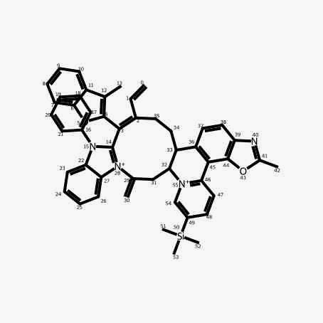 C=C/C1=C(\c2oc3ccccc3c2C)c2n(-c3ccccc3)c3ccccc3[n+]2C(=C)CC2C(CC1)c1ccc3nc(C)oc3c1-c1ccc([Si](C)(C)C)c[n+]12